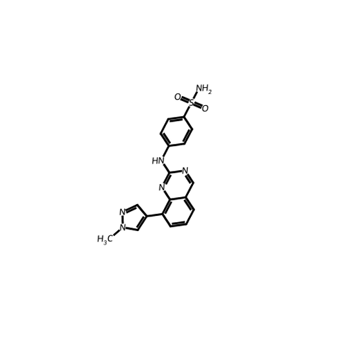 Cn1cc(-c2cccc3cnc(Nc4ccc(S(N)(=O)=O)cc4)nc23)cn1